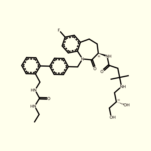 CCNC(=O)NCc1ccccc1-c1ccc(CN2C(=O)[C@H](NC(=O)CC(C)(C)NC[C@H](O)CO)CCc3cc(F)ccc32)cc1